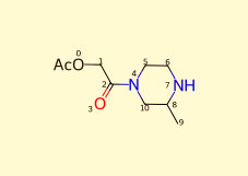 CC(=O)OCC(=O)N1CCNC(C)C1